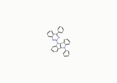 c1ccc(-c2nc(-n3c4ccccc4c4c3c3ccccc3n4-c3ccccc3)nc3ccccc23)cc1